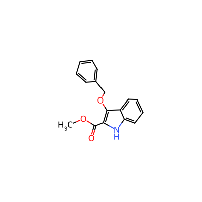 COC(=O)c1[nH]c2ccccc2c1OCc1ccccc1